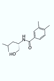 Cc1ccc(C(=O)N[C@H](CO)CC(C)C)cc1C